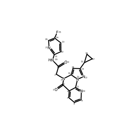 O=C(Cn1c(=O)c2cccnc2n2nc(C3CC3)cc12)Nc1ccc(F)cn1